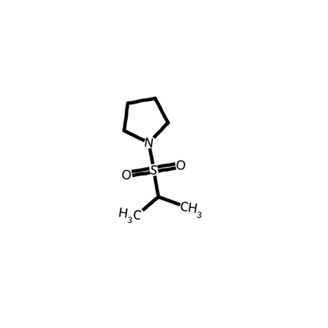 CC(C)S(=O)(=O)N1CCCC1